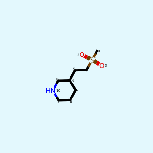 CS(=O)(=O)CCC1CCCNC1